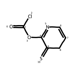 O=C(Cl)OC1=NC=CCC1=S